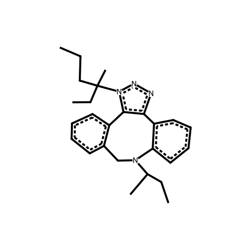 CCCC(C)(CC)n1nnc2c1-c1ccccc1CN(C(C)CC)c1ccccc1-2